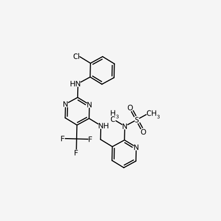 CN(c1ncccc1CNc1nc(Nc2ccccc2Cl)ncc1C(F)(F)F)S(C)(=O)=O